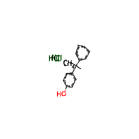 C.CC(C)(c1ccccc1)c1ccc(O)cc1.Cl.Cl